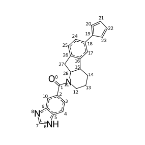 O=C(c1ccc2[nH]cnc2c1)N1CCCC2c3cc(C4=C=CC=C4)ccc3CC21